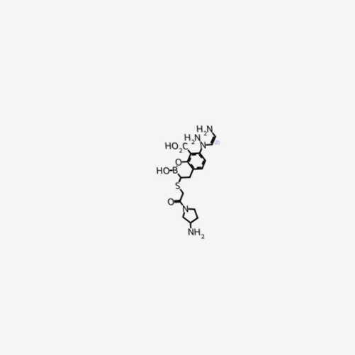 N/C=C\N(N)c1ccc2c(c1C(=O)O)OB(O)C(SCC(=O)N1CCC(N)C1)C2